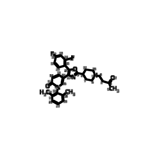 CC(=O)CCN1CCC(c2nc(-c3ccc(=O)n(-c4c(C)cccc4C)c3)c(-c3ccc(F)cc3F)o2)CC1